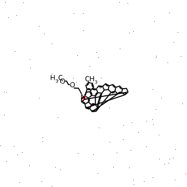 COCCOCCN1CC2C3=c4c5c6c7c(cc8c9c%10c%11c%12c%13c%14c(cc%15c%16c(c4c(c5c%11c79)c%12c%14%16)=C(C3)C%15)=CC3=CC(=C8)C%10C3%13)CC62C1c1cccc(C)c1